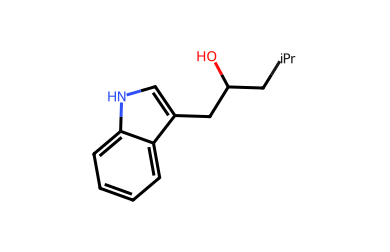 CC(C)CC(O)Cc1c[nH]c2ccccc12